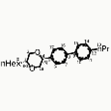 CCCCCC[C@@H]1CO[C@@H](c2ccc(-c3ccc(CCC)cc3)cc2)CO1